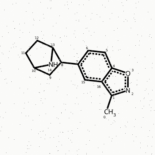 Cc1noc2ccc(C3CC4CCC3N4)cc12